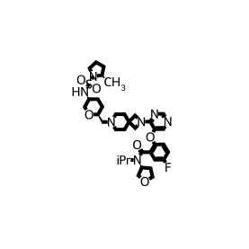 CC(C)N(C(=O)c1cc(F)ccc1Oc1cncnc1N1CC2(CCN(C[C@@H]3CC[C@@H](NS(=O)(=O)N4CCC[C@@H]4C)CO3)CC2)C1)[C@@H]1CCOC1